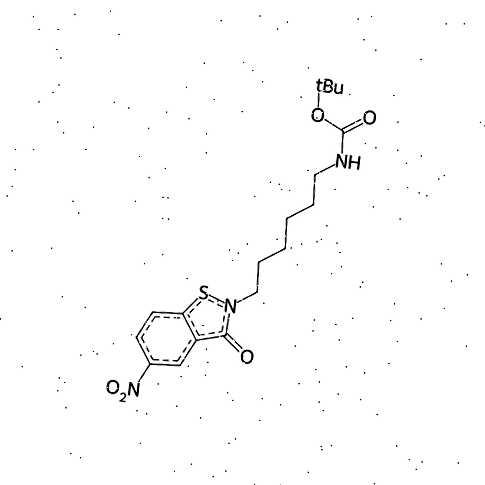 CC(C)(C)OC(=O)NCCCCCCn1sc2ccc([N+](=O)[O-])cc2c1=O